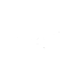 CC(C)(C)OC(=O)N1CCc2nc(C(C)(C)c3ccccc3)nc(N3CCOCC3)c2CC1